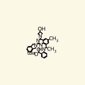 Cc1cc(C(C)Nc2ccccc2C(=O)OC(C)(C)C)c2nc(N3Cc4ccccc4C3)nc(N3CC(O)C3)c2c1